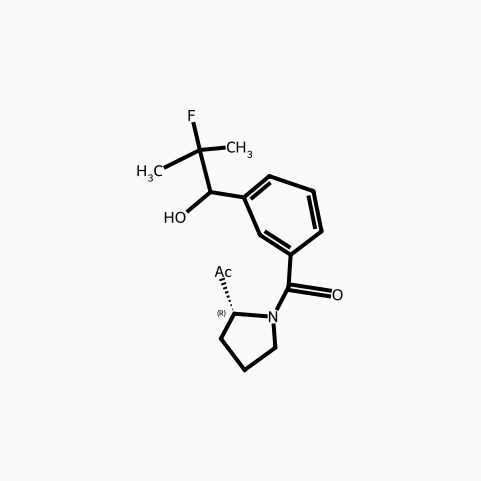 CC(=O)[C@H]1CCCN1C(=O)c1cccc(C(O)C(C)(C)F)c1